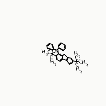 CC(C)(C)c1ccc2c(c1)Cc1c-2ccc(C(C)(C)C)c1C(c1ccccc1)c1ccccc1